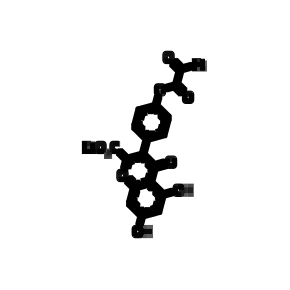 CCOC(=O)c1oc2cc(O)cc(O)c2c(=O)c1-c1ccc(OC(=O)C(=O)CC)cc1